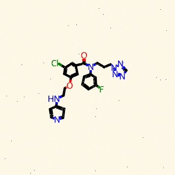 O=C(c1cc(Cl)cc(OCCNc2ccncc2)c1)N(CCCn1ncnn1)c1cccc(F)c1